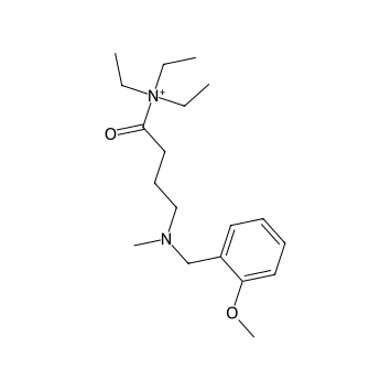 CC[N+](CC)(CC)C(=O)CCCN(C)Cc1ccccc1OC